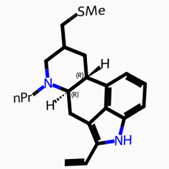 C=Cc1[nH]c2cccc3c2c1C[C@@H]1[C@@H]3CC(CSC)CN1CCC